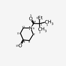 CCC(C)(C)C(=O)N1CCC(=O)CC1